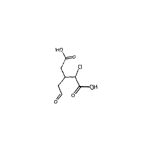 O=CCC(CC(=O)O)C(Cl)C(=O)O